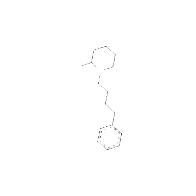 O=[N+]([O-])C1C[CH]CCN1CCCCc1ccccc1